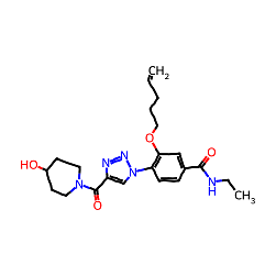 C=CCCCOc1cc(C(=O)NCC)ccc1-n1cc(C(=O)N2CCC(O)CC2)nn1